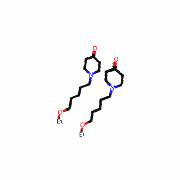 CCOCCCCCN1CCC(=O)CC1.CCOCCCCCN1CCC(=O)CC1